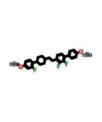 CCCCOc1ccc(-c2ccc(CCC3CCC(c4ccc(OCCCC)cc4F)CC3)c(F)c2F)cc1